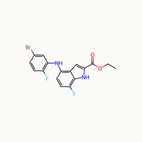 CCOC(=O)c1cc2c(Nc3cc(Br)ccc3F)ccc(F)c2[nH]1